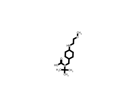 COCCNC1CCC(CN(C(=O)O)C(C)(C)C)CC1